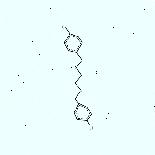 Clc1ccc(CSCCSCc2ccc(Cl)cc2)cc1